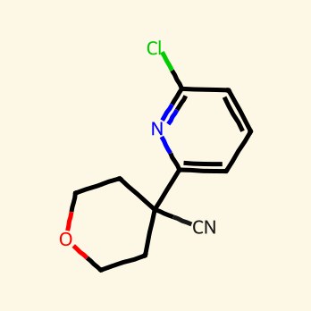 N#CC1(c2cccc(Cl)n2)CCOCC1